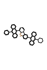 C1=CC2c3cc(-c4c5ccccc5c(C5CCCCC5)c5ccccc45)ccc3SC2C(c2c3ccccc3c(-c3ccccc3)c3ccccc23)=C1